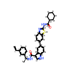 C=Cc1cccc([C@H](C)NC(=O)c2c[nH]c3ccc(-c4ccc5nc(NC(=O)C6CCCCC6)sc5c4)cc23)c1